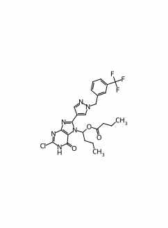 CCCC(=O)OC(CCC)n1c(-c2cnn(Cc3cccc(C(F)(F)F)c3)c2)nc2nc(Cl)[nH]c(=O)c21